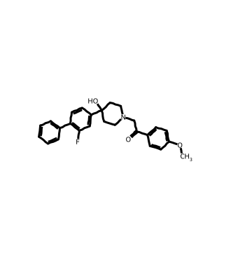 COc1ccc(C(=O)CN2CCC(O)(c3ccc(-c4ccccc4)c(F)c3)CC2)cc1